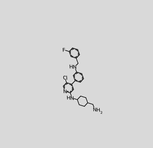 NCC1CCC(Nc2cc(-c3cccc(NCc4cccc(F)c4)c3)c(Cl)cn2)CC1